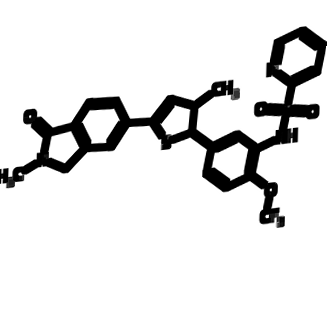 CC1C=C(c2ccc3c(c2)CN(C)C3=O)SC1c1ccc(OC(F)(F)F)c(NS(=O)(=O)c2ccccn2)c1